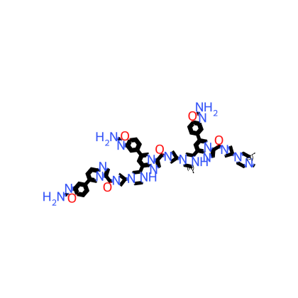 C[C@@H]1CN(C2CN(C(=O)c3cnc4c(C5CN(C6CN(C(=O)c7cnc8ccc(-c9ccc%10oc(N)nc%10c9)cn78)C6)CCN5)cc(-c5ccc6oc(N)nc6c5)cn34)C2)CC(c2cc(-c3ccc4oc(N)nc4c3)cn3c(C(=O)N4CC(N5CCN(C)[C@@H](C)C5)C4)cnc23)N1